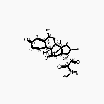 C[C@@H]1C[C@H]2[C@@H]3C[C@H](F)C4=CC(=O)C=C[C@]4(C)[C@H]3C(=O)C[C@]2(C)[C@H]1C(=O)C(=O)N(C)C